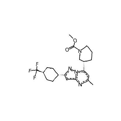 COC(=O)N1CCC[C@H](c2cc(C)nc3cc([C@H]4CC[C@H](C(F)(F)F)CC4)nn23)C1